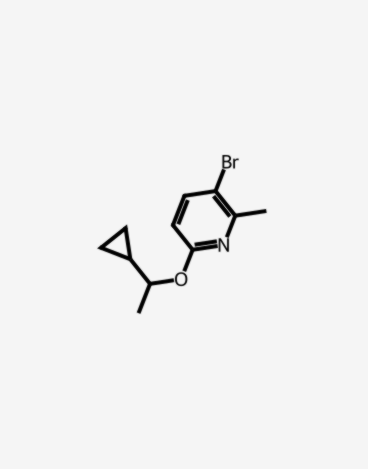 Cc1nc(OC(C)C2CC2)ccc1Br